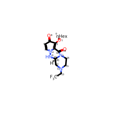 CCCCCCOc1c2n(ccc1=O)N[C@@H]1CN(CC(F)(F)F)CCN1C2=O